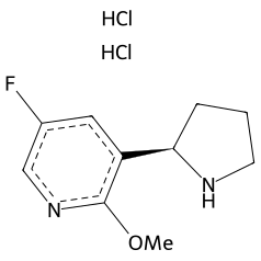 COc1ncc(F)cc1[C@H]1CCCN1.Cl.Cl